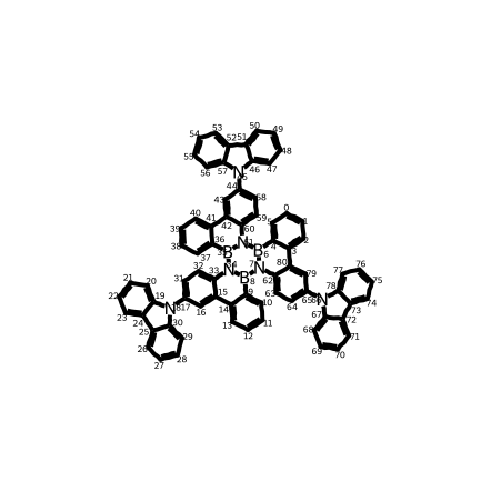 c1ccc2c(c1)B1N(B3c4ccccc4-c4cc(-n5c6ccccc6c6ccccc65)ccc4N3B3c4ccccc4-c4cc(-n5c6ccccc6c6ccccc65)ccc4N13)c1ccc(-n3c4ccccc4c4ccccc43)cc1-2